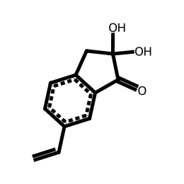 C=Cc1ccc2c(c1)C(=O)C(O)(O)C2